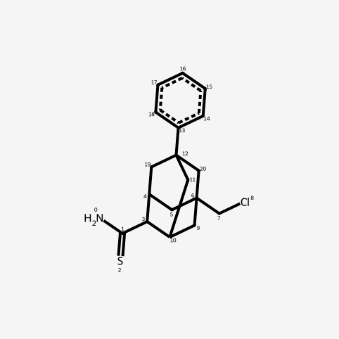 NC(=S)C1C2CC3(CCl)CC1CC(c1ccccc1)(C2)C3